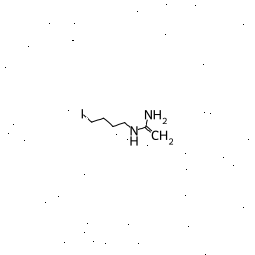 C=C(N)NCCCCI